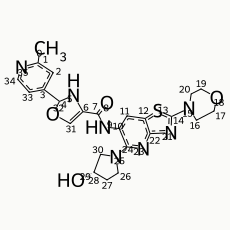 Cc1cc(C2NC(C(=O)Nc3cc4sc(N5CCOCC5)nc4nc3N3CC[C@H](O)C3)=CO2)ccn1